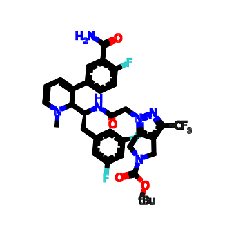 CN1C=CC=C(c2ccc(F)c(C(N)=O)c2)C1[C@H](Cc1cc(F)cc(F)c1)NC(=O)Cn1nc(C(F)(F)F)c2c1CN(C(=O)OC(C)(C)C)C2